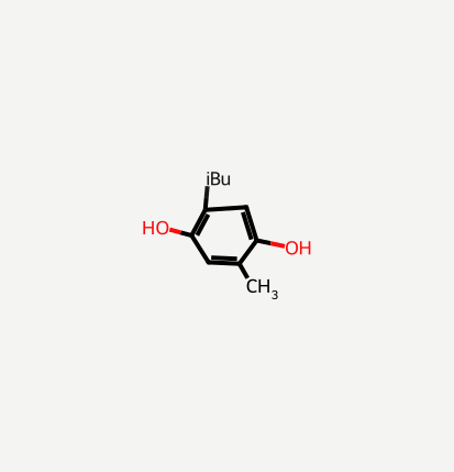 CCC(C)c1cc(O)c(C)cc1O